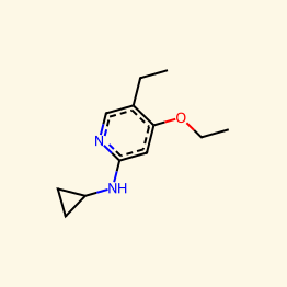 CCOc1cc(NC2CC2)ncc1CC